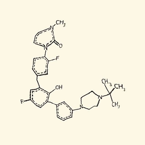 Cn1ccn(-c2ccc(-c3cc(F)cc(-c4cccc(N5CCN(C(C)(C)C)CC5)c4)c3O)cc2F)c1=O